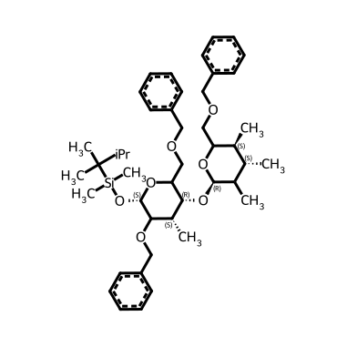 CC1[C@@H](O[C@H]2C(COCc3ccccc3)O[C@@H](O[Si](C)(C)C(C)(C)C(C)C)C(OCc3ccccc3)[C@H]2C)OC(COCc2ccccc2)[C@@H](C)[C@@H]1C